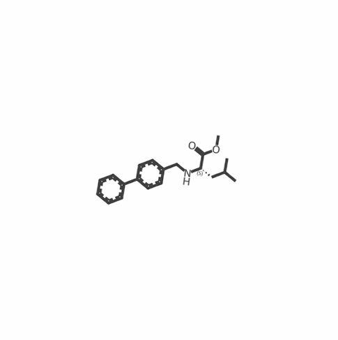 COC(=O)[C@H](CC(C)C)NCc1ccc(-c2ccccc2)cc1